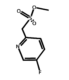 COS(=O)(=O)Cc1ccc(F)cn1